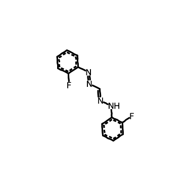 Fc1ccccc1N=NC=NNc1ccccc1F